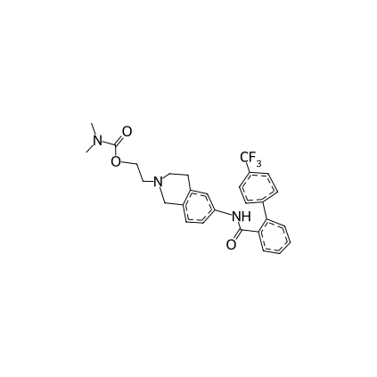 CN(C)C(=O)OCCN1CCc2cc(NC(=O)c3ccccc3-c3ccc(C(F)(F)F)cc3)ccc2C1